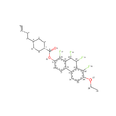 C=CCCC1CCC(C(=O)Oc2ccc3c(c2F)C(F)C(F)c2c-3ccc(OCC)c2F)CC1